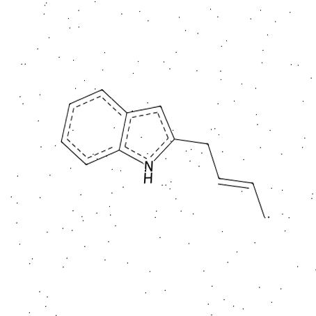 [CH2]C=CCc1cc2ccccc2[nH]1